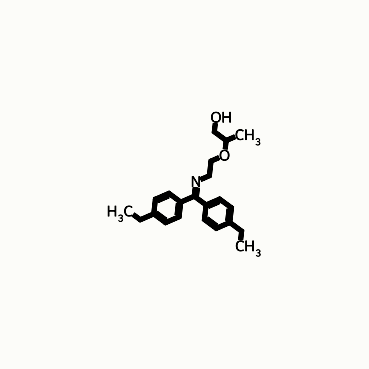 CCc1ccc(C(=NCCOC(C)CO)c2ccc(CC)cc2)cc1